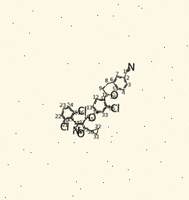 N#Cc1ccc2c(c1)CCC(c1ccc(OCc3c(-c4c(Cl)cccc4Cl)noc3C3CC3)cc1Cl)O2